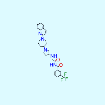 O=C(CN[C@@H]1CCN(C2CCCN(c3ccc4ccccc4n3)CC2)C1)NC(=O)c1cccc(C(F)(F)F)c1